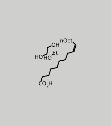 CCCCCCCC/C=C\CCCCCCCC(=O)O.CCO.OCCO